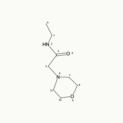 CCNC(=O)CN1CCOCC1